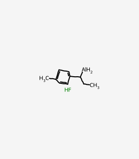 CC[CH]([AlH2])c1ccc(C)cc1.F